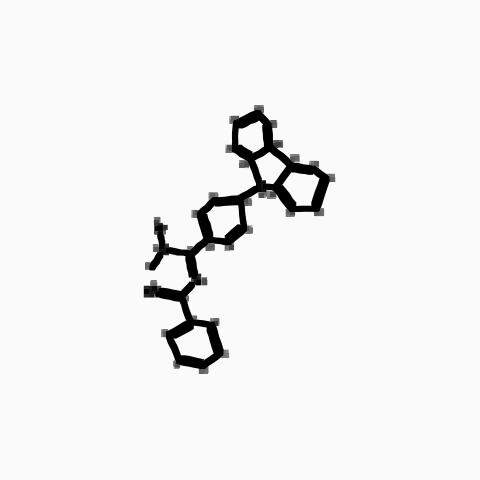 CN(Br)/C(=N\C(=N)c1ccccc1)c1ccc(-n2c3ccccc3c3ccccc32)cc1